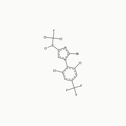 [O-][S+](c1cn(-c2c(Cl)cc(C(F)(F)F)cc2Cl)c(Br)n1)C(F)(Cl)Cl